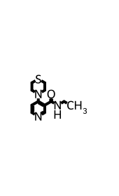 CCNC(=O)c1cnccc1N1CCSCC1